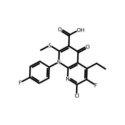 CCc1c(F)c(Cl)nc2c1c(=O)c(C(=O)O)c(SC)n2-c1ccc(F)cc1